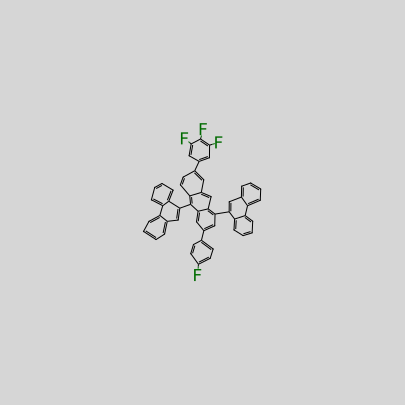 Fc1ccc(-c2cc(-c3cc4ccccc4c4ccccc34)c3cc4cc(-c5cc(F)c(F)c(F)c5)ccc4c(-c4cc5ccccc5c5ccccc45)c3c2)cc1